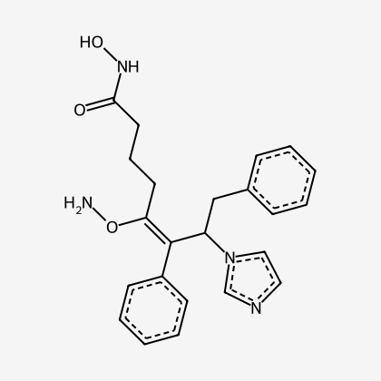 NOC(CCCC(=O)NO)=C(c1ccccc1)C(Cc1ccccc1)n1ccnc1